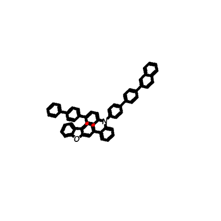 c1ccc(-c2ccc(-c3ccc(N(c4ccc(-c5ccc(-c6ccc7ccccc7c6)cc5)cc4)c4ccccc4-c4ccc5c(c4)oc4ccccc45)cc3)cc2)cc1